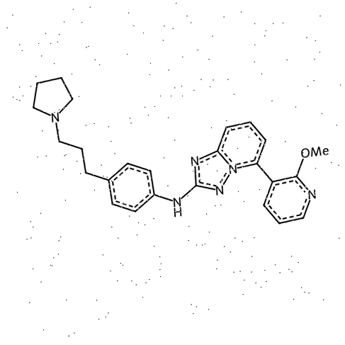 COc1ncccc1-c1cccc2nc(Nc3ccc(CCCN4CCCC4)cc3)nn12